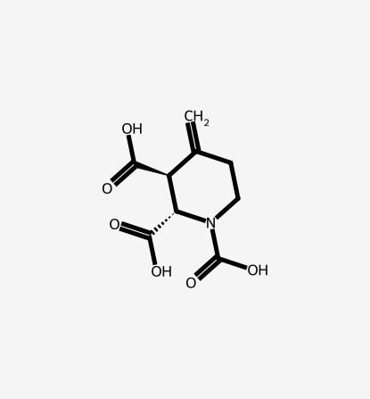 C=C1CCN(C(=O)O)[C@H](C(=O)O)[C@H]1C(=O)O